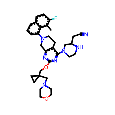 Cc1c(F)ccc2cccc(N3CCc4c(nc(OCC5(CN6CCOCC6)CC5)nc4N4CCNC(CC#N)C4)C3)c12